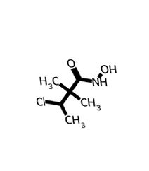 CC(Cl)C(C)(C)C(=O)NO